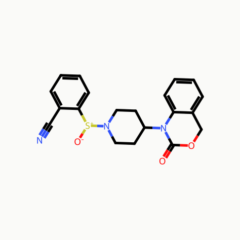 N#Cc1ccccc1[S+]([O-])N1CCC(N2C(=O)OCc3ccccc32)CC1